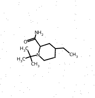 CCC1CCN(C(C)(C)C)C(C(N)=O)C1